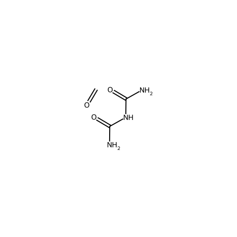 C=O.NC(=O)NC(N)=O